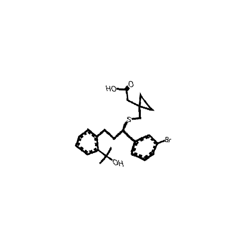 CC(C)(O)c1ccccc1CCC(SCC1(CC(=O)O)CC1)c1cccc(Br)c1